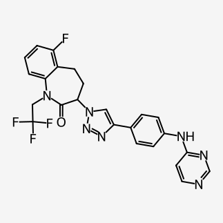 O=C1C(n2cc(-c3ccc(Nc4ccncn4)cc3)nn2)CCc2c(F)cccc2N1CC(F)(F)F